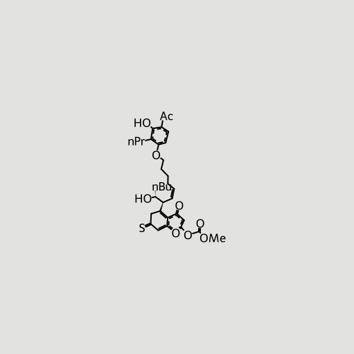 CCCC[C@@H](O)[C@@H](/C=C\CCCCOc1ccc(C(C)=O)c(O)c1CCC)C1=c2c(=O)cc(OC(=O)OC)oc2=CC(=S)C1